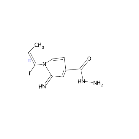 C/C=C(/I)n1ccc(C(=O)NN)cc1=N